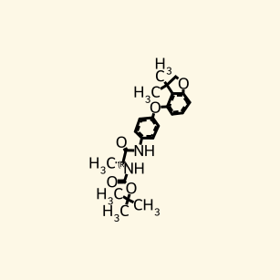 C[C@@H](NC(=O)OC(C)(C)C)C(=O)Nc1ccc(Oc2cccc3c2C(C)(C)CO3)cc1